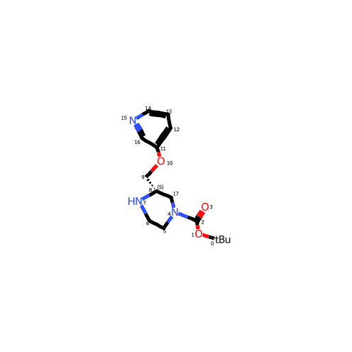 CC(C)(C)OC(=O)N1CCN[C@H](COc2cccnc2)C1